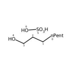 CCCCCCCCO.O=S(=O)(O)O